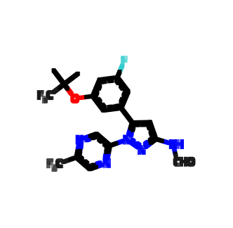 CC(C)(Oc1cc(F)cc(-c2cc(NC=O)nn2-c2cnc(C(F)(F)F)cn2)c1)C(F)(F)F